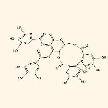 O=C1OC2COC(=O)c3cc(O)c(O)c(O)c3-c3c(cc(O)c(O)c3O)C(=O)OC2C(OC(=O)c2cc(O)c(O)c(O)c2)=C1OC(=O)c1cc(O)c(O)c(O)c1